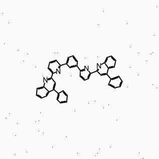 c1ccc(-c2cc(-c3cccc(-c4cccc(-c5cccc(-c6cc(-c7ccccc7)c7ccccc7n6)n5)c4)n3)nc3ccccc23)cc1